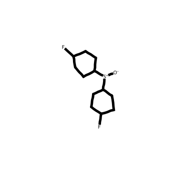 [O-][S+](C1CCC(F)CC1)C1CCC(F)CC1